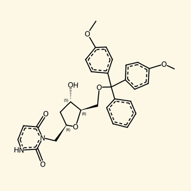 COc1ccc(C(OC[C@H]2O[C@@H](Cn3c(=O)cc[nH]c3=O)C[C@@H]2O)(c2ccccc2)c2ccc(OC)cc2)cc1